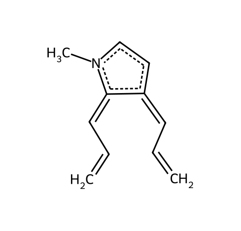 C=C/C=c1/ccn(C)/c1=C/C=C